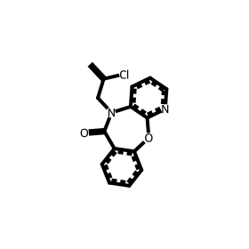 C=C(Cl)CN1C(=O)c2ccccc2Oc2ncccc21